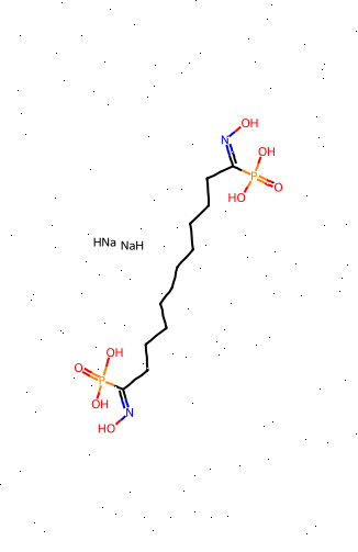 O=P(O)(O)/C(CCCCCCCCCC/C(=N/O)P(=O)(O)O)=N\O.[NaH].[NaH]